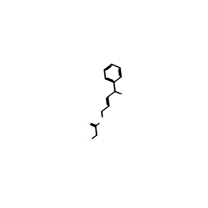 CC(=O)CC(=O)OCC=CC(F)c1ccccc1